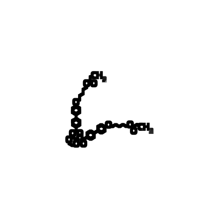 C=CC(=O)OCCCCCOc1ccc(-c2ccc(C(=O)O[C@H]3OCCO[C@@H]3OC(=O)c3ccc(-c4ccc(OCCCCCOC(=O)C=C)cc4)cc3)cc2)cc1